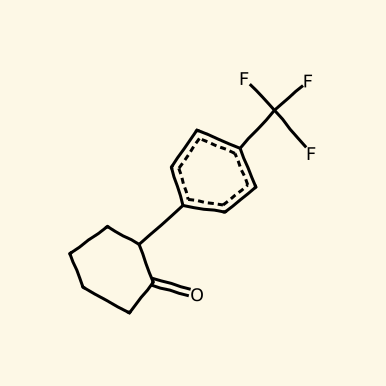 O=C1CCCCC1c1ccc(C(F)(F)F)cc1